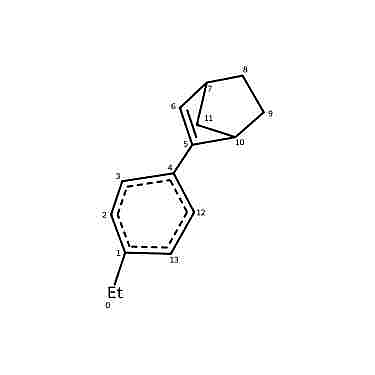 CCc1ccc(C2=CC3CCC2C3)cc1